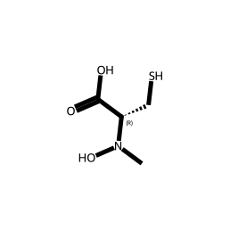 CN(O)[C@@H](CS)C(=O)O